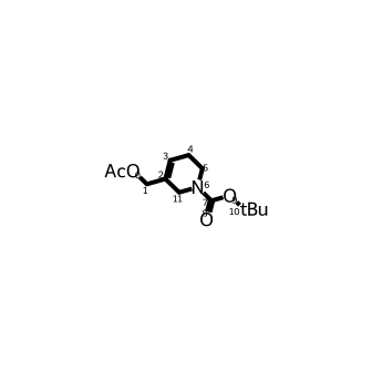 CC(=O)OCC1=CCCN(C(=O)OC(C)(C)C)C1